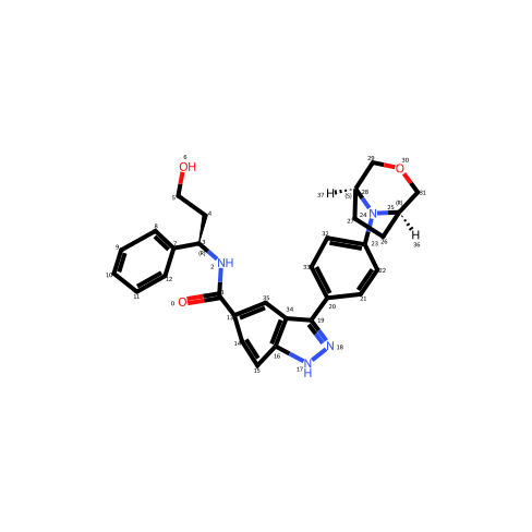 O=C(N[C@H](CCO)c1ccccc1)c1ccc2[nH]nc(-c3ccc(N4[C@@H]5CC[C@H]4COC5)cc3)c2c1